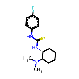 CN(C)[C@@H]1CCCC[C@H]1NC(=S)Nc1ccc(F)cc1